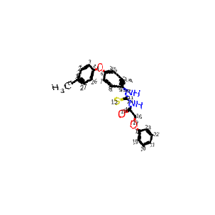 Cc1ccc(Oc2ccc(NC(=S)NC(=O)COc3ccccc3)cc2)cc1